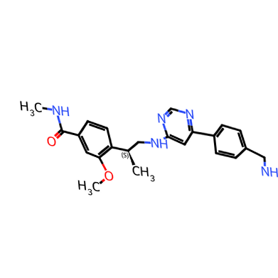 CNC(=O)c1ccc([C@H](C)CNc2cc(-c3ccc(CN)cc3)ncn2)c(OC)c1